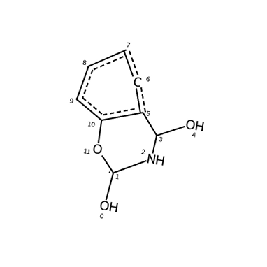 O[C]1NC(O)c2ccccc2O1